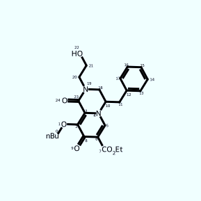 CCCCOc1c2n(cc(C(=O)OCC)c1=O)C(Cc1ccccc1)CN(CCO)C2=O